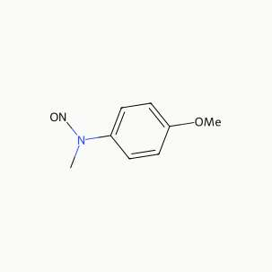 COc1ccc(N(C)N=O)cc1